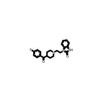 O=C(c1ccc(F)cc1)C1CCN(CCn2c(=O)[nH]c3ccccc32)CC1